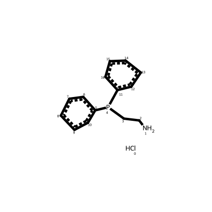 Cl.NCCP(c1ccccc1)c1ccccc1